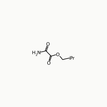 CC(C)COC(=O)C(N)=O